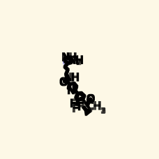 CC(=O)N(CC1CC1)c1ccc(-c2ccc(C(=O)NCCC/C(C=N)=C/N)cn2)cc1C(F)(F)F